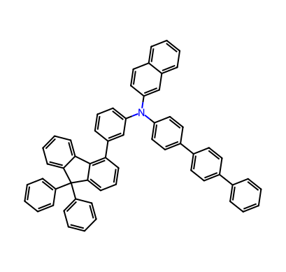 c1ccc(-c2ccc(-c3ccc(N(c4cccc(-c5cccc6c5-c5ccccc5C6(c5ccccc5)c5ccccc5)c4)c4ccc5ccccc5c4)cc3)cc2)cc1